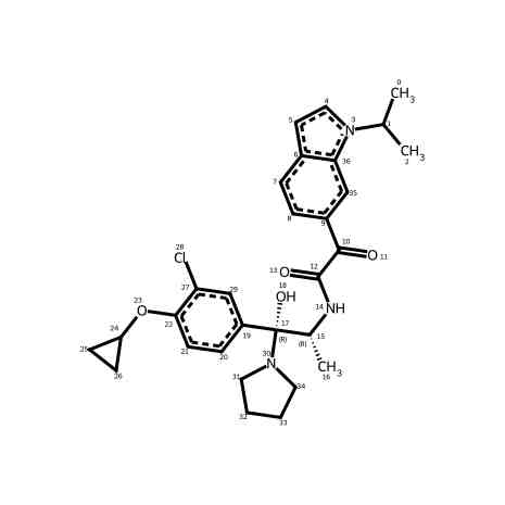 CC(C)n1ccc2ccc(C(=O)C(=O)N[C@H](C)[C@](O)(c3ccc(OC4CC4)c(Cl)c3)N3CCCC3)cc21